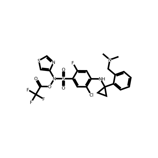 CN(C)Cc1ccccc1C1(Nc2cc(F)c(S(=O)(=O)N(OC(=O)C(F)(F)F)c3cscn3)cc2Cl)CC1